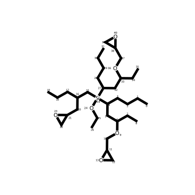 CCCCC(CC(CC)OCC1CO1)[Si](CC(CCC)CC1CO1)(OCC)C(CCCC)CC(CC)OCC1CO1